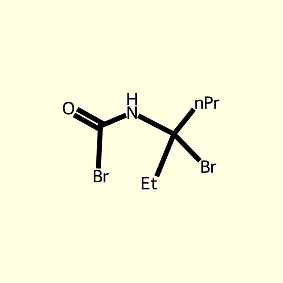 CCCC(Br)(CC)NC(=O)Br